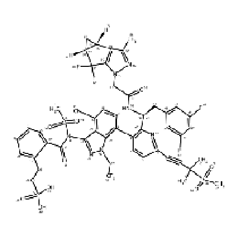 CC(C)(C#Cc1ccc(-c2ccc(Cl)c3c(N(C(=O)c4ccccc4COP(=O)(O)O)S(C)(=O)=O)nn(CC(F)(F)F)c23)c([C@H](Cc2cc(F)cc(F)c2)NC(=O)Cn2nc(C(F)(F)F)c3c2C(F)(F)[C@@H]2C[C@H]32)n1)S(C)(=O)=O